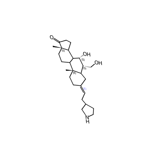 C[C@]12CC/C(=C\CC3CCNC3)CC1[C@@H](CO)[C@@H](O)C1C2CC[C@]2(C)C(=O)CCC12